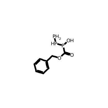 O=C(OCc1ccccc1)P(O)PP